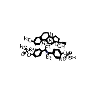 C#C[C@]1(O)CC[C@H]2[C@@H]3CCc4cc(O)ccc4[C@H]3CC[C@@]21C.CC/C(=C(/CC)c1ccc(OP(=O)(O)O)cc1)c1ccc(OP(=O)(O)O)cc1